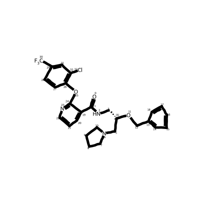 O=C(NC[C@@H](CN1CCCC1)OCc1ccccc1)c1cccnc1Oc1ccc(C(F)(F)F)cc1Cl